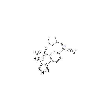 Cc1nnnn1-c1ccc(/C(=C\C2CCCC2)C(=O)O)cc1S(C)(=O)=O